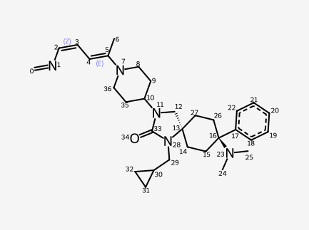 C=N/C=C\C=C(/C)N1CCC(N2C[C@]3(CC[C@](c4ccccc4)(N(C)C)CC3)N(CC3CC3)C2=O)CC1